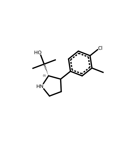 Cc1cc(C2CCN[C@@H]2C(C)(C)O)ccc1Cl